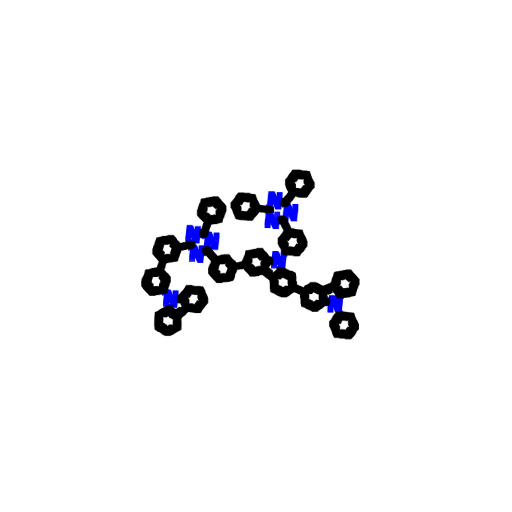 c1ccc(-c2nc(-c3cccc(-c4cccc(-n5c6ccccc6c6ccccc65)c4)c3)nc(-c3cccc(-c4ccc5c(c4)c4ccc(-c6ccc7c(c6)c6ccccc6n7-c6ccccc6)cc4n5-c4cccc(-c5nc(-c6ccccc6)nc(-c6ccccc6)n5)c4)c3)n2)cc1